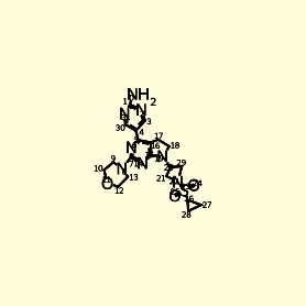 Nc1ncc(-c2nc(N3CCOCC3)nc3c2CCN3C2CN(S(=O)(=O)C3CC3)C2)cn1